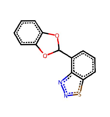 c1ccc2c(c1)O[C](c1cccc3snnc13)O2